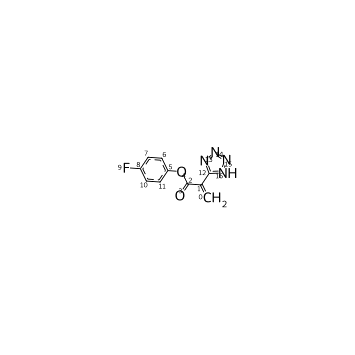 C=C(C(=O)Oc1ccc(F)cc1)c1nnn[nH]1